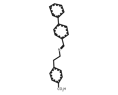 O=C(O)c1ccc(CCN=Cc2ccc(-c3ccccc3)cc2)cc1